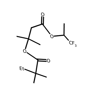 CCC(C)(C)C(=O)OC(C)(C)CC(=O)OC(C)C(F)(F)F